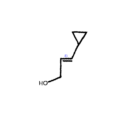 OC/C=C/C1CC1